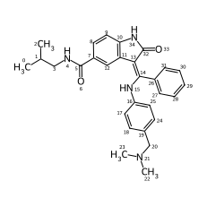 CC(C)CNC(=O)c1ccc2c(c1)C(=C(Nc1ccc(CN(C)C)cc1)c1ccccc1)C(=O)N2